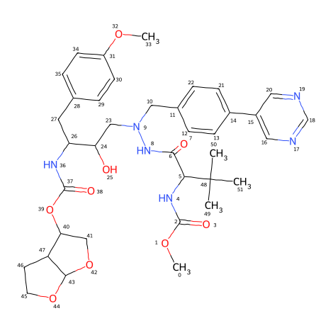 COC(=O)NC(C(=O)NN(Cc1ccc(-c2cncnc2)cc1)CC(O)C(Cc1ccc(OC)cc1)NC(=O)OC1COC2OCCC12)C(C)(C)C